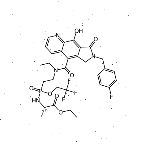 CCOC(=O)[C@H](C)NP(=O)(CCN(CC)C(=O)c1c2c(c(O)c3ncccc13)C(=O)N(Cc1ccc(F)cc1)C2)OCC(F)(F)F